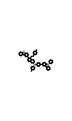 Cc1ccc(CCc2c(-c3ccc4sc5ccccc5c4c3)ccc3cc(N(c4ccc(C)cc4)c4ccc(-c5ccc6c(c5)c5ccccc5n6-c5ccccc5)cc4)ccc23)cc1